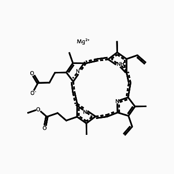 C=CC1=C(C)c2cc3[nH]c(cc4nc(cc5[n-]c(cc1n2)c(C)c5CCC(=O)OC)C(CCC(=O)[O-])=C4C)c(C)c3C=C.[Mg+2]